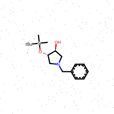 CC(C)(C)[Si](C)(C)O[C@H]1CN(Cc2ccccc2)C[C@@H]1O